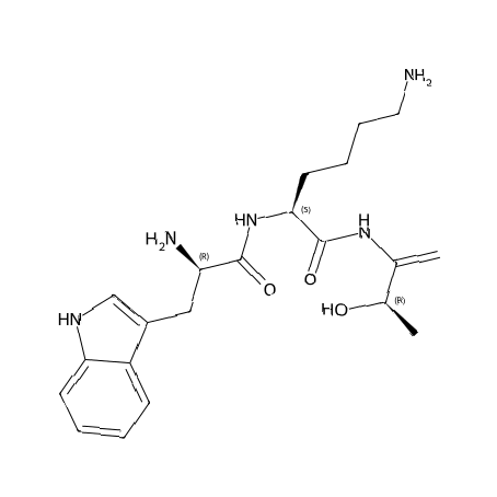 C=C(NC(=O)[C@H](CCCCN)NC(=O)[C@H](N)Cc1c[nH]c2ccccc12)[C@@H](C)O